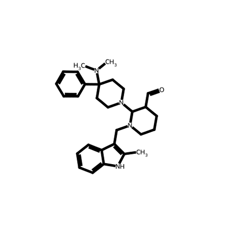 Cc1[nH]c2ccccc2c1CN1CCCC(C=O)C1N1CCC(c2ccccc2)(N(C)C)CC1